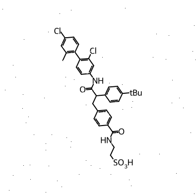 Cc1cc(Cl)ccc1-c1ccc(NC(=O)C(Cc2ccc(C(=O)NCCS(=O)(=O)O)cc2)c2ccc(C(C)(C)C)cc2)cc1Cl